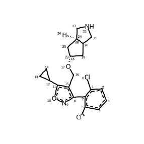 Clc1cccc(Cl)c1-c1noc(C2CC2)c1CO[C@H]1CC2CNC[C@@H]2C1